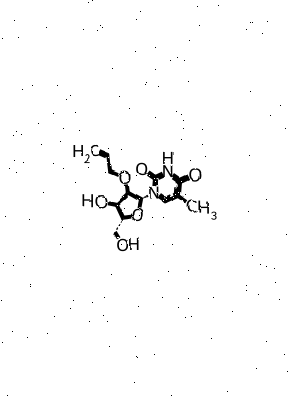 C=CCOC1C(O)[C@@H](CO)O[C@H]1n1cc(C)c(=O)[nH]c1=O